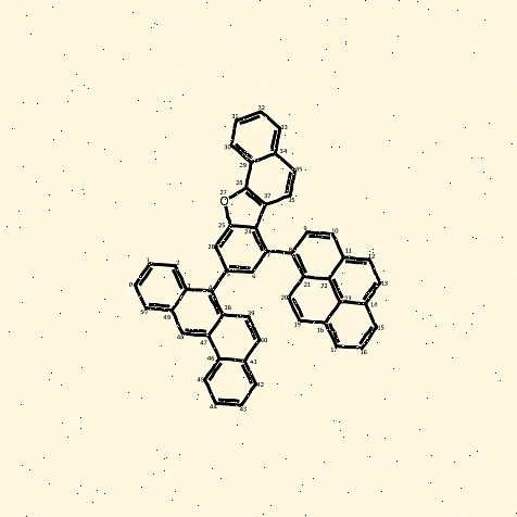 c1ccc2c(-c3cc(-c4ccc5ccc6cccc7ccc4c5c67)c4c(c3)oc3c5ccccc5ccc34)c3ccc4ccccc4c3cc2c1